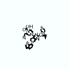 CN1CCN(C2(COc3nc4c(c(N5CCN(C(=O)O)C(CC#N)C5)n3)CCN(c3cccc5ccn(C)c35)C4)CC2)CC1